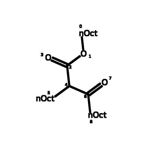 CCCCCCCCOC(=O)C(CCCCCCCC)C(=O)CCCCCCCC